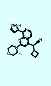 C[C@@H]1COCCN1c1cc(C(C#N)C2CCC2)c2ccnc(-c3ccn[nH]3)c2n1